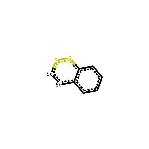 c1ccc2[se][se]ssc2c1